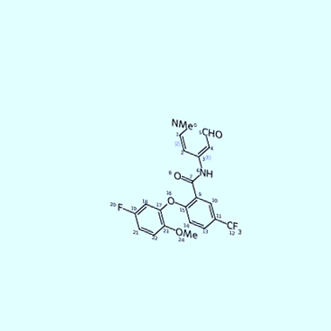 CN/C=C\C(=C/C=O)NC(=O)c1cc(C(F)(F)F)ccc1Oc1cc(F)ccc1OC